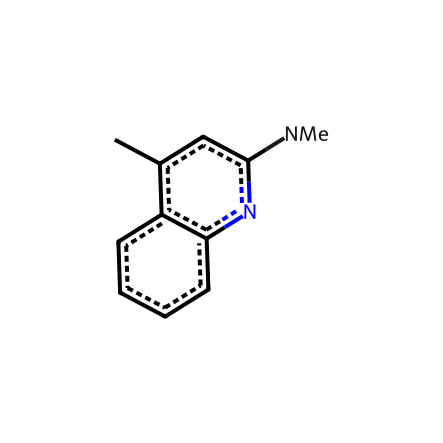 CNc1cc(C)c2ccccc2n1